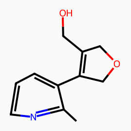 Cc1ncccc1C1=C(CO)COC1